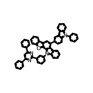 c1ccc(-c2cc(-c3ccccc3)nc(-c3cccc(-n4c5ccccc5c5c(-c6ccc7c(c6)c6ccccc6n7-c6ccccc6)cc6c7ccccc7oc6c54)c3)n2)cc1